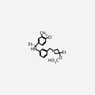 CC[C@@H](Nc1cccc(CN2CC(CC)(OC(=O)O)C2)c1)c1ccc(Cl)c(C)c1